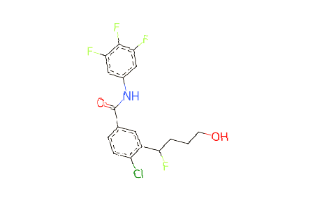 O=C(Nc1cc(F)c(F)c(F)c1)c1ccc(Cl)c(C(F)CCCO)c1